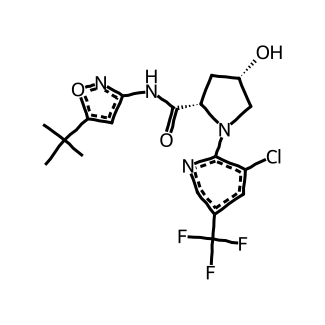 CC(C)(C)c1cc(NC(=O)[C@@H]2C[C@H](O)CN2c2ncc(C(F)(F)F)cc2Cl)no1